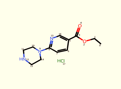 CCOC(=O)c1ccc(N2CCNCC2)nc1.Cl